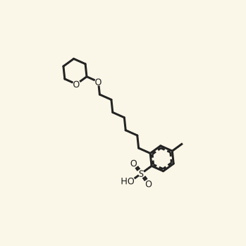 Cc1ccc(S(=O)(=O)O)c(CCCCCCCOC2CCCCO2)c1